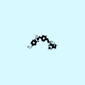 Cc1ccc2[nH]c(Cc3ccc(CCNc4ncnc5c4SCC5)cc3)nc2c1